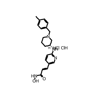 Cc1ccc(CN2CCC[C@@H](Nc3ccc(C=CC(=O)NO)cn3)C2)cc1.Cl.Cl